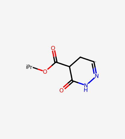 CC(C)OC(=O)C1C[C]=NNC1=O